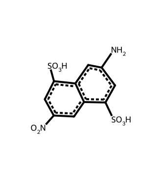 Nc1cc(S(=O)(=O)O)c2cc([N+](=O)[O-])cc(S(=O)(=O)O)c2c1